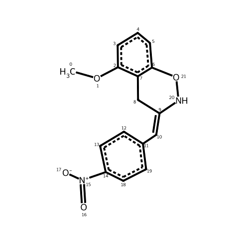 COc1cccc2c1C/C(=C\c1ccc([N+](=O)[O-])cc1)NO2